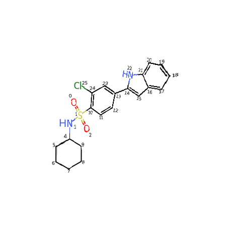 O=S(=O)(NC1CCCCC1)c1ccc(-c2cc3ccccc3[nH]2)cc1Cl